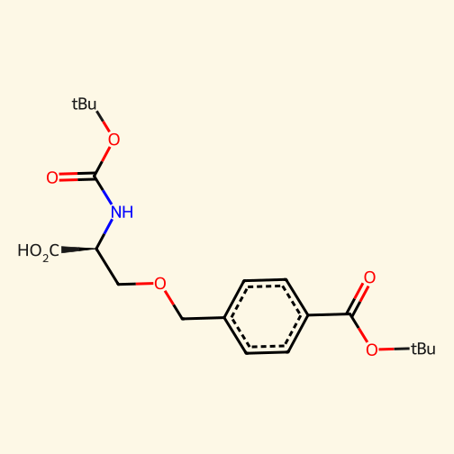 CC(C)(C)OC(=O)N[C@@H](COCc1ccc(C(=O)OC(C)(C)C)cc1)C(=O)O